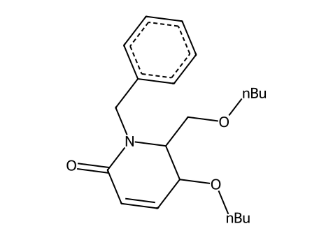 CCCCOCC1C(OCCCC)C=CC(=O)N1Cc1ccccc1